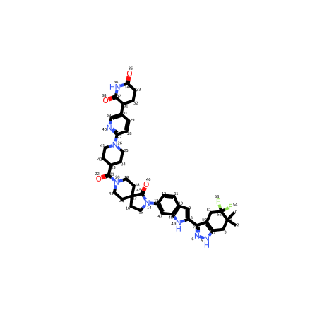 CC1(C)Cc2[nH]nc(-c3cc4ccc(N5CCC6(CCN(C(=O)C7CCN(c8ccc(C9CCC(=O)NC9=O)cn8)CC7)CC6)C5=O)cc4[nH]3)c2CC1(F)F